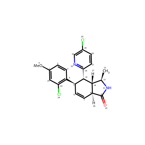 COc1ccc([C@@H]2C=C[C@@H]3C(=O)N[C@H](C)[C@H]3[C@H]2c2ccc(Cl)cn2)c(Cl)c1